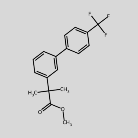 COC(=O)C(C)(C)c1cccc(-c2ccc(C(F)(F)F)cc2)c1